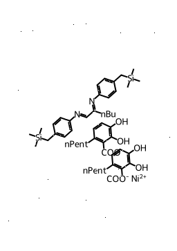 CCCCC(C=Nc1ccc(C[Si](C)(C)C)cc1)=Nc1ccc(C[Si](C)(C)C)cc1.CCCCCc1ccc(O)c(O)c1C(=O)[O-].CCCCCc1ccc(O)c(O)c1C(=O)[O-].[Ni+2]